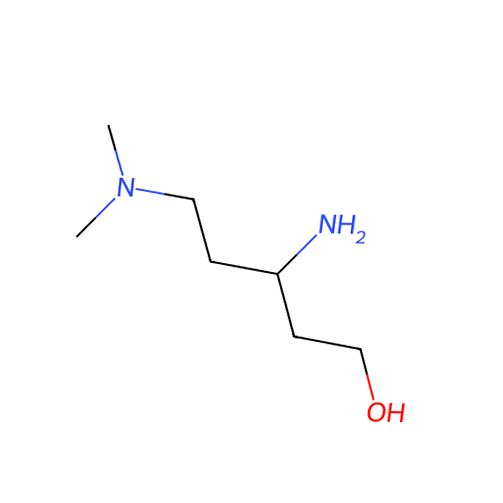 CN(C)CCC(N)CCO